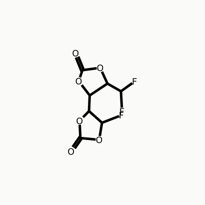 O=C1OC(F)C(C2OC(=O)OC2C(F)F)O1